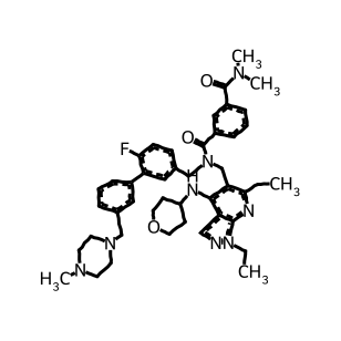 CCc1nc2c(cnn2CC)c(NC2CCOCC2)c1CN(Cc1ccc(F)c(-c2cccc(CN3CCN(C)CC3)c2)c1)C(=O)c1cccc(C(=O)N(C)C)c1